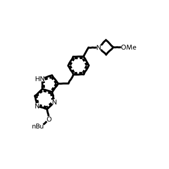 CCCCOc1ncc2[nH]cc(Cc3ccc(CN4CC(OC)C4)cc3)c2n1